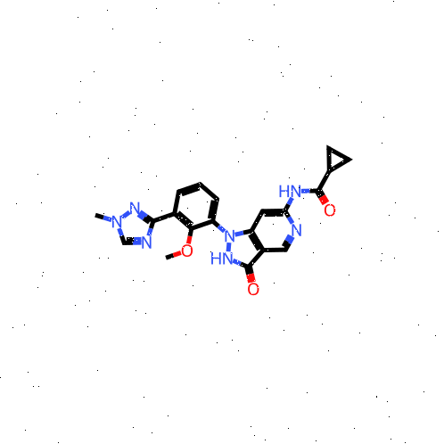 COc1c(-c2ncn(C)n2)cccc1-n1[nH]c(=O)c2cnc(NC(=O)C3CC3)cc21